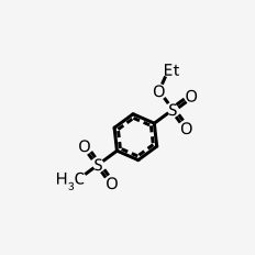 CCOS(=O)(=O)c1ccc(S(C)(=O)=O)cc1